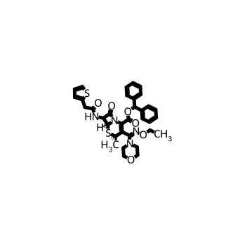 CCON=C(C1=C(C(=O)OC(c2ccccc2)c2ccccc2)N2C(=O)C(NC(=O)Cc3cccs3)[C@@H]2S[C@@H]1C)N1CCOCC1